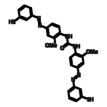 COc1cc(N=Nc2cccc(S)c2)ccc1NC(=O)Nc1ccc(N=Nc2cccc(S)c2)cc1OC